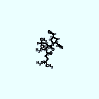 CN(C)CCC(=O)N(C)C(CC(C)(C)F)C(=O)N1CC(C=O)CC1C#N